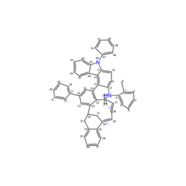 Cc1ccccc1Nc1ccc2c(c1-c1cc(-c3ccccc3)cc3c1B/C=C\C=C1/CC3Cc3ccccc31)c1ccccc1n2-c1ccccc1